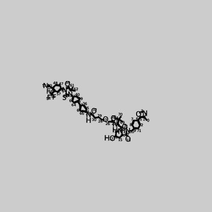 Cc1ncoc1-c1ccc(CNC(=O)[C@@H]2C[C@@H](O)CN2C(=O)C(NC(=O)COCCCC(=O)Nc2ccc(-c3ccc(N4C(=S)N(c5ccc(C#N)c(C(F)(F)F)c5)C(=O)C4(C)C)cc3)cc2)C(C)(C)C)cc1